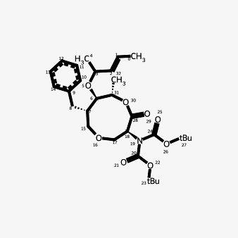 C/C=C/C(C)O[C@@H]1[C@@H](Cc2ccccc2)COC[C@H](N(C(=O)OC(C)(C)C)C(=O)OC(C)(C)C)C(=O)O[C@H]1C